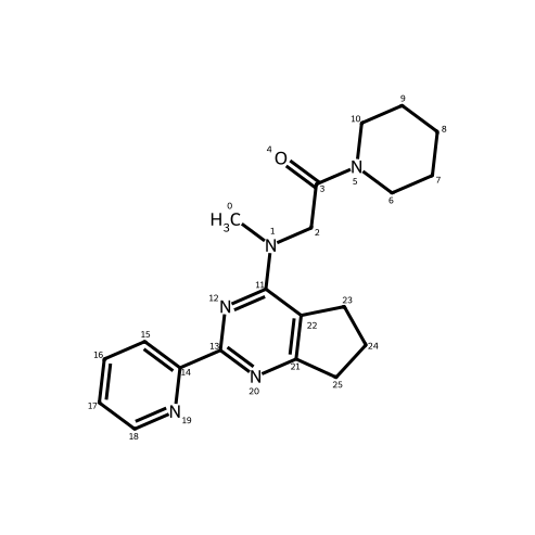 CN(CC(=O)N1CCCCC1)c1nc(-c2ccccn2)nc2c1CCC2